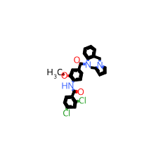 COc1cc(C(=O)N2Cc3cccn3Cc3ccccc32)ccc1NC(=O)c1ccc(Cl)cc1Cl